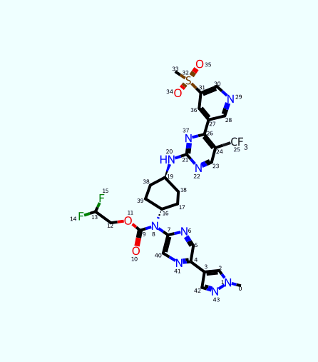 Cn1cc(-c2cnc(N(C(=O)OCC(F)F)[C@H]3CC[C@H](Nc4ncc(C(F)(F)F)c(-c5cncc(S(C)(=O)=O)c5)n4)CC3)cn2)cn1